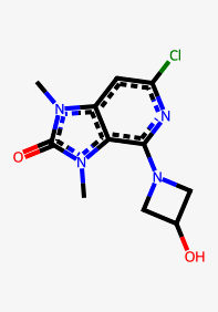 Cn1c(=O)n(C)c2c(N3CC(O)C3)nc(Cl)cc21